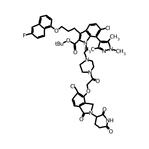 Cc1nn(C)c(C)c1-c1c(Cl)ccc2c(CCCOc3cccc4cc(F)ccc34)c(C(=O)OC(C)(C)C)n(CCN3CCN(C(=O)COc4c(Cl)ccc5c4CN(C4CCC(=O)NC4=O)C5=O)CC3)c12